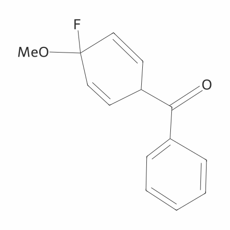 COC1(F)C=CC(C(=O)c2ccccc2)C=C1